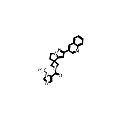 Cn1cncc1C(=O)N1CC2(CCn3nc(-c4cnc5ccccc5c4)cc32)C1